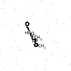 Cc1cccc(-c2nc(CC(=O)CC(=O)NCCCCC3CCCCC3)c(C)o2)c1